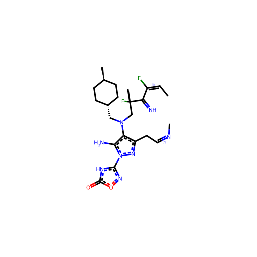 C/C=C(/F)C(=N)C(C)(F)CN(C[C@H]1CC[C@H](C)CC1)c1c(C/C=N\C)nn(-c2noc(=O)[nH]2)c1N